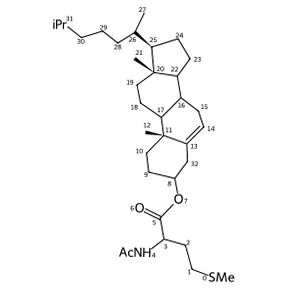 CSCCC(NC(C)=O)C(=O)OC1CC[C@@]2(C)C(=CCC3C2CC[C@@]2(C)C3CC[C@@H]2C(C)CCCC(C)C)C1